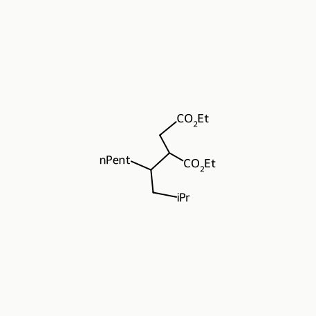 CCCCCC(CC(C)C)C(CC(=O)OCC)C(=O)OCC